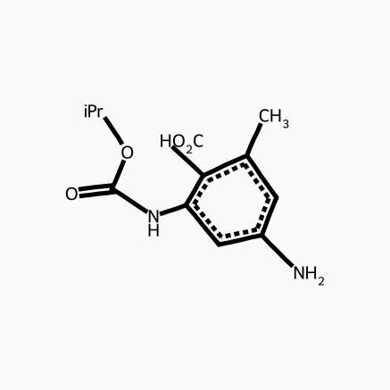 Cc1cc(N)cc(NC(=O)OC(C)C)c1C(=O)O